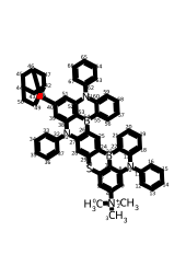 C[N+](C)(C)c1cc2c3c(c1)N(c1ccccc1)c1ccccc1B3c1cc3c(cc1S2)N(c1ccccc1)c1cc(N2C4CC5CC(C4)CC2C5)cc2c1B3c1ccccc1N2c1ccccc1